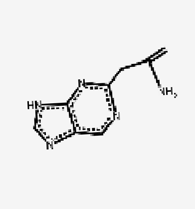 C=C(N)Cc1ncc2nc[nH]c2n1